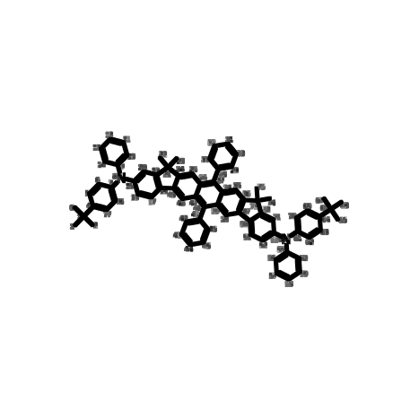 CC(C)(C)c1ccc(N(c2ccccc2)c2ccc3c(c2)C(C)(C)c2cc4c(-c5ccccc5)c5cc6c(cc5c(-c5ccccc5)c4cc2-3)-c2ccc(N(c3ccccc3)c3ccc(C(C)(C)C)cc3)cc2C6(C)C)cc1